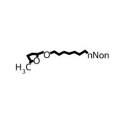 CCCCCCCCCCCCCCCCOCC1CCC(C)O1